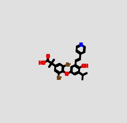 CC(C)c1cc(Oc2c(Br)cc(C(C)(C)C(=O)O)cc2Br)cc(C=Cc2ccncc2)c1O